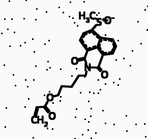 C=CC(=O)OCCCCCN1C(=O)c2cccc3c([S+](C)[O-])ccc(c23)C1=O